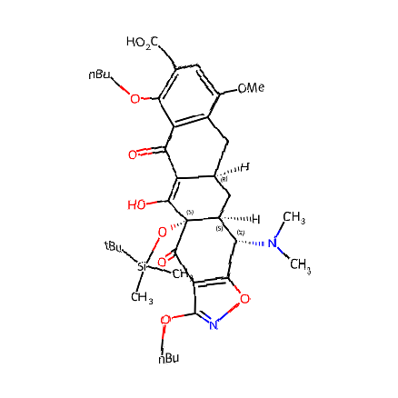 CCCCOc1noc2c1C(=O)[C@@]1(O[Si](C)(C)C(C)(C)C)C(O)=C3C(=O)c4c(c(OC)cc(C(=O)O)c4OCCCC)C[C@H]3C[C@H]1[C@@H]2N(C)C